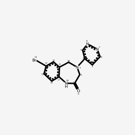 O=C1CN(c2ccnnc2)Cc2cc(Br)ccc2N1